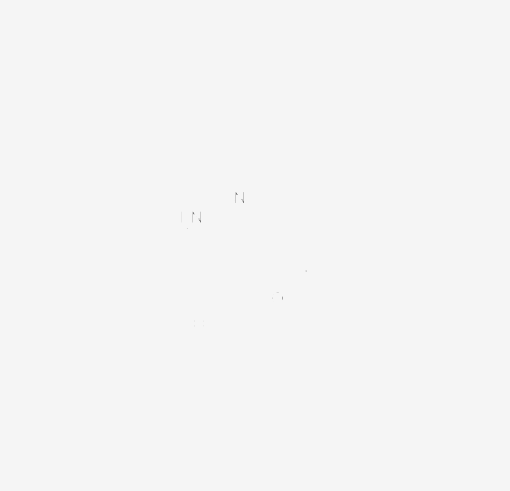 CC(C)(C)OC=O.NN1CCC1